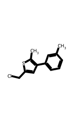 Cc1cccc(-c2cc(CCl)sc2C)c1